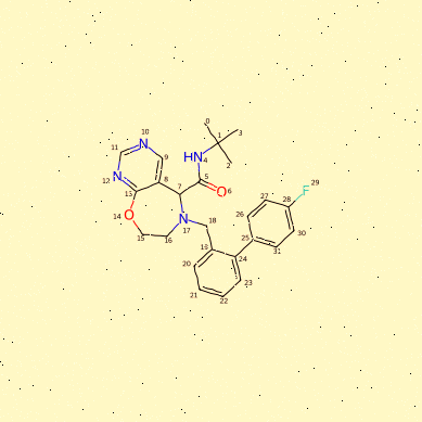 CC(C)(C)NC(=O)C1c2cncnc2OCCN1Cc1ccccc1-c1ccc(F)cc1